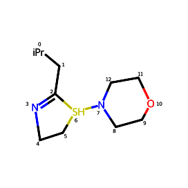 CC(C)CC1=NCC[SH]1N1CCOCC1